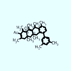 C=C1C2=C(C)[C@@]3(C)C(=C)C(C(C)=O)=C(C)C[C@@]3(C)C[C@@]2(C)Cc2c(-c3cc(C)cc(C)c3)ccc(C)c21